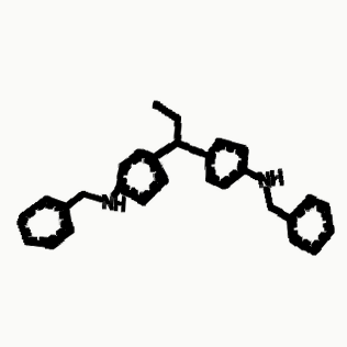 CCC(c1ccc(NCc2ccccc2)cc1)c1ccc(NCc2ccccc2)cc1